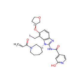 C=CC(=O)N1CCCC[C@@H](n2c(NC(=O)c3ccnc(O)c3)nc3ccc(O[C@H]4CCOC4)c(CI)c32)C1